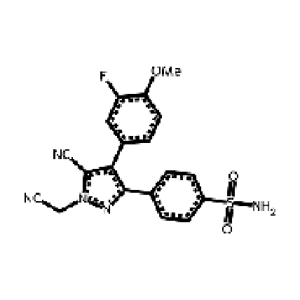 COc1ccc(-c2c(-c3ccc(S(N)(=O)=O)cc3)nn(CC#N)c2C#N)cc1F